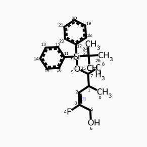 CC(/C=C(/F)CO)C(C)O[Si](c1ccccc1)(c1ccccc1)C(C)(C)C